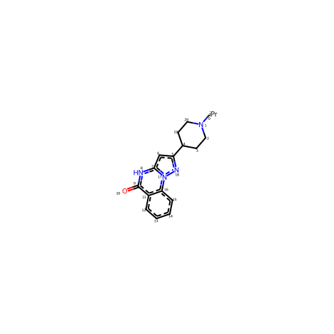 CC(C)N1CCC(c2cc3[nH]c(=O)c4ccccc4n3n2)CC1